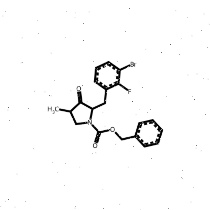 CC1CN(C(=O)OCc2ccccc2)C(Cc2cccc(Br)c2F)C1=O